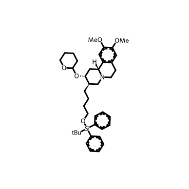 COc1cc2c(cc1OC)[C@H]1C[C@@H](OC3CCCCO3)[C@H](CCCCO[Si](c3ccccc3)(c3ccccc3)C(C)(C)C)CN1CC2